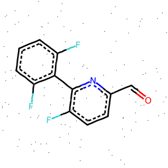 O=Cc1ccc(F)c(-c2c(F)cccc2F)n1